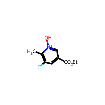 CCOC(=O)c1cc(F)c(C)[n+](O)c1